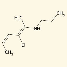 C/C=C\C(Cl)=C(/C)NCCC